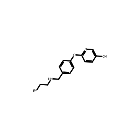 CC(C)CCNCc1ccc(Oc2ccc(C#N)cn2)cc1